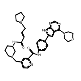 O=C(/C=C/CN1CCCC1)N[C@@H]1CCCN(Cc2ccnc(C(=O)Nc3ccc(-c4cc5c(N6CCOCC6)ncnc5[nH]4)cc3)c2)C1